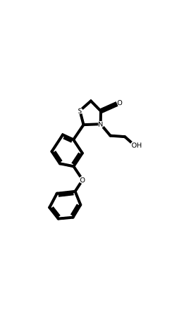 O=C1CSC(c2cccc(Oc3ccccc3)c2)N1CCO